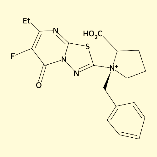 CCc1nc2sc([N@@+]3(Cc4ccccc4)CCCC3C(=O)O)nn2c(=O)c1F